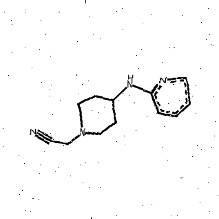 N#CCN1CCC(Nc2ccccn2)CC1